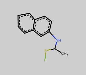 CC(Nc1ccc2ccccc2c1)SF